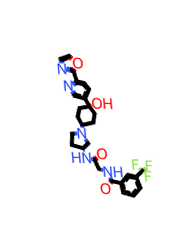 O=C(CNC(=O)c1cccc(C(F)(F)F)c1)N[C@@H]1CCN(C2CCC(O)(c3ccc(-c4ncco4)nc3)CC2)C1